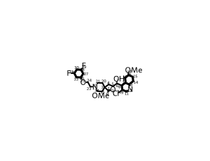 COC(=O)C1(CC[C@@H](O)c2c(Cl)cnc3ccc(OC)cc23)CCN(CCOc2cc(F)cc(F)c2)CC1